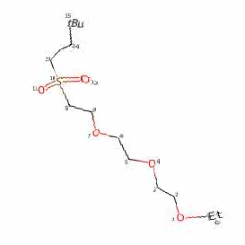 CCOCCOCCOCCS(=O)(=O)CCC(C)(C)C